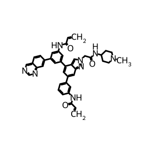 C=CC(=O)Nc1cccc(-c2cc(-c3cc(NC(=O)C=C)cc(-c4ccc5cncnc5c4)c3)c3cn(CC(=O)NC4CCN(C)CC4)nc3c2)c1